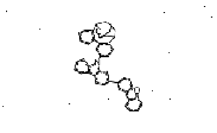 c1ccc2c(c1)-c1cc(-n3c4ccccc4c4ccc(-c5ccc6oc7ccccc7c6c5)cc43)ccc1C1CC3CC(CC2C3)C1